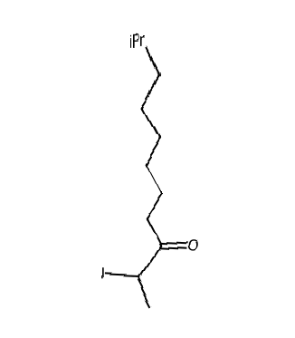 CC(C)CCCCCCC(=O)C(C)I